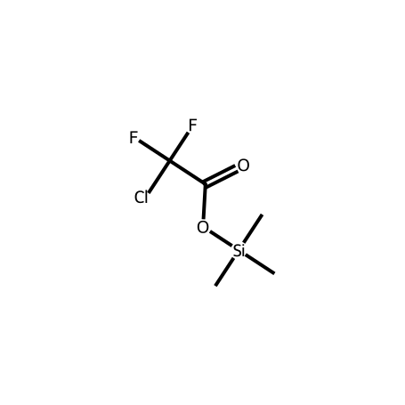 C[Si](C)(C)OC(=O)C(F)(F)Cl